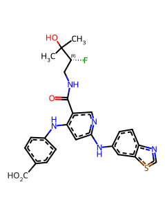 CC(C)(O)[C@H](F)CNC(=O)c1cnc(Nc2ccc3ncsc3c2)cc1Nc1ccc(C(=O)O)cc1